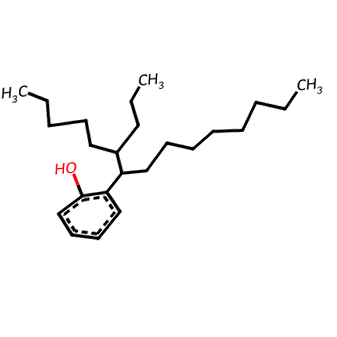 CCCCCCCCC(c1ccccc1O)C(CCC)CCCCC